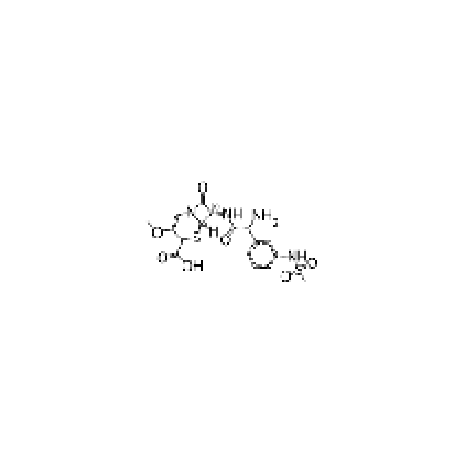 COC1=CN2C(=O)[C@@H](NC(=O)C(N)c3cccc(NS(C)(=O)=O)c3)[C@H]2SC1C(=O)O